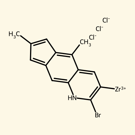 Cc1cc2cc3[nH]c(Br)[c]([Zr+3])cc3c(C)c2c1.[Cl-].[Cl-].[Cl-]